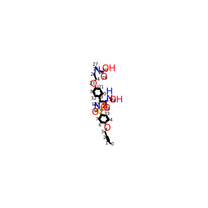 CC#CCOc1ccc(S(=O)(=O)N(C)C(C(=O)NO)c2ccc(OCCN(C)C(=O)O)cc2)cc1